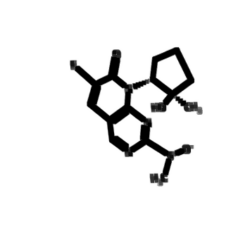 C[S+]([O-])c1ncc2cc(F)c(=O)n([C@@H]3CCC[C@@]3(C)O)c2n1